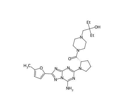 CCC(O)(CC)CN1CCN(C(=O)[C@@H]2CCCN2c2nc(N)n3nc(-c4ccc(C)o4)nc3n2)CC1